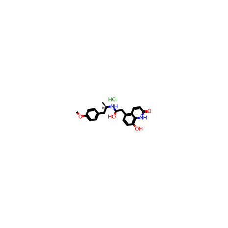 COc1ccc(C[C@@H](C)NC(O)Cc2ccc(O)c3[nH]c(=O)ccc23)cc1.Cl